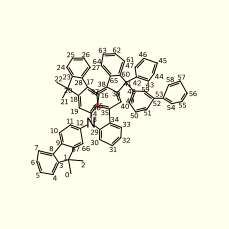 CC1(C)c2ccccc2-c2ccc(N(c3ccc4c(c3)C(C)(C)c3ccccc3-4)c3ccccc3-c3ccc4c(c3)C(c3ccccc3)(c3cccc(-c5ccccc5)c3)c3ccccc3-4)cc21